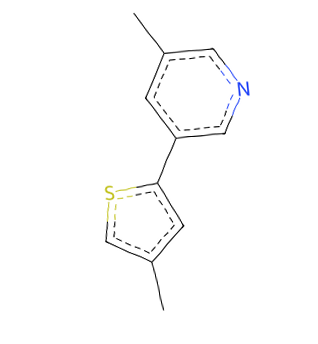 Cc1cncc(-c2cc(C)cs2)c1